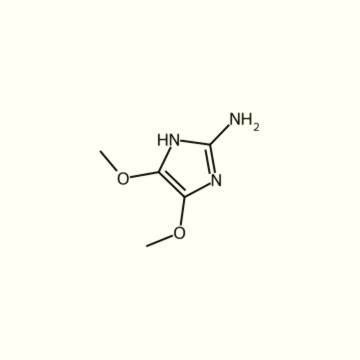 COc1nc(N)[nH]c1OC